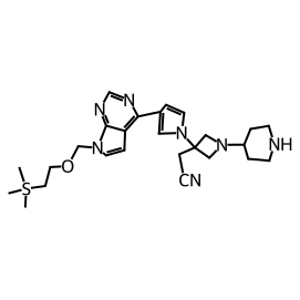 CS(C)(C)CCOCn1ccc2c(-c3ccn(C4(CC#N)CN(C5CCNCC5)C4)c3)ncnc21